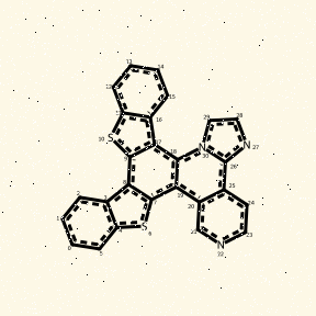 c1ccc2c(c1)sc1c2c2sc3ccccc3c2c2c1c1cnccc1c1nccn12